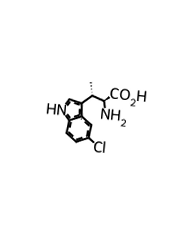 C[C@@H](c1c[nH]c2ccc(Cl)cc12)[C@H](N)C(=O)O